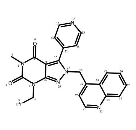 CC(C)Cn1c(=O)n(C)c(=O)c2c(-c3ccncc3)n(Cc3ccnc4ccccc34)nc21